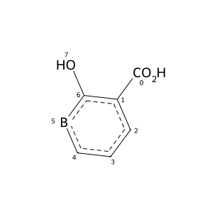 O=C(O)c1cccbc1O